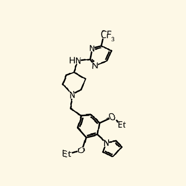 CCOc1cc(CN2CCC(Nc3nccc(C(F)(F)F)n3)CC2)cc(OCC)c1-n1cccc1